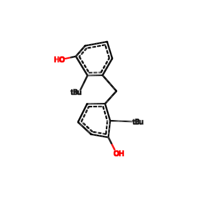 CC(C)(C)c1c(O)cccc1Cc1cccc(O)c1C(C)(C)C